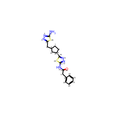 Nc1nnc(CC2CC[C@@H](c3nnc(NC(=O)Cc4ccccc4)s3)C2)s1